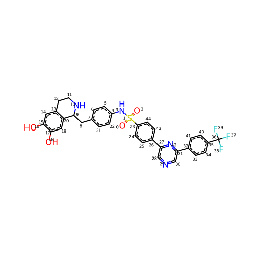 O=S(=O)(Nc1ccc(CC2NCCc3cc(O)c(O)cc32)cc1)c1ccc(-c2cncc(-c3ccc(C(F)(F)F)cc3)n2)cc1